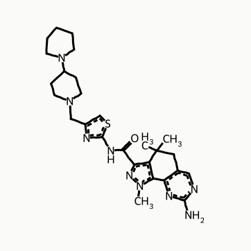 Cn1nc(C(=O)Nc2nc(CN3CCC(N4CCCCC4)CC3)cs2)c2c1-c1nc(N)ncc1CC2(C)C